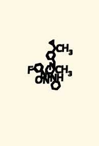 CC(c1cccc(CN2CC[C@@]3(C[C@@H]2C)C(NC2CCCCC2)=NC(=O)N3c2cccc(F)c2)c1)C1CC1